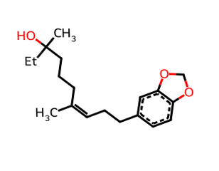 CCC(C)(O)CCCC(C)=CCCc1ccc2c(c1)OCO2